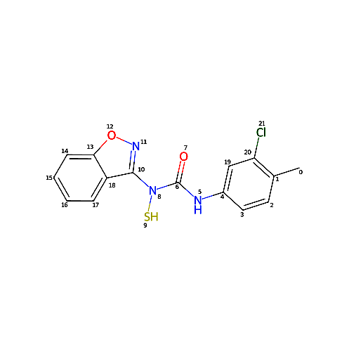 Cc1ccc(NC(=O)N(S)c2noc3ccccc23)cc1Cl